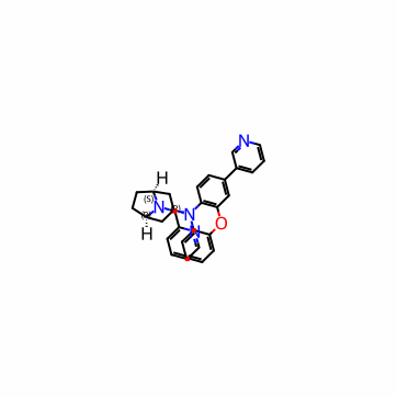 c1ccc(CN2[C@@H]3CC[C@H]2C[C@@H](N2c4ccccc4Oc4cc(-c5cccnc5)ccc42)C3)nc1